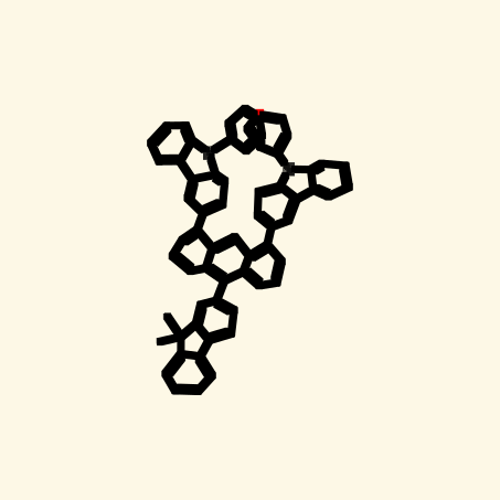 CC1(C)c2ccccc2-c2ccc(-c3c4cccc(-c5ccc6c(c5)c5ccccc5n6-c5ccccc5)c4cc4c(-c5ccc6c(c5)c5ccccc5n6-c5ccccc5)cccc34)cc21